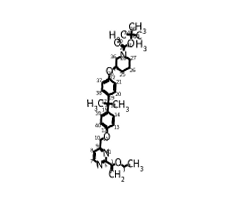 C=C(OCC)c1nccc(COc2ccc(C(C)(C)c3ccc(OC4CCCN(C(=O)OC(C)(C)C)C4)cc3)cc2)n1